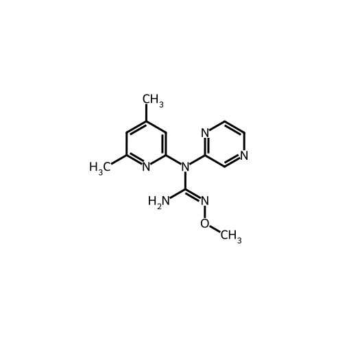 CON=C(N)N(c1cnccn1)c1cc(C)cc(C)n1